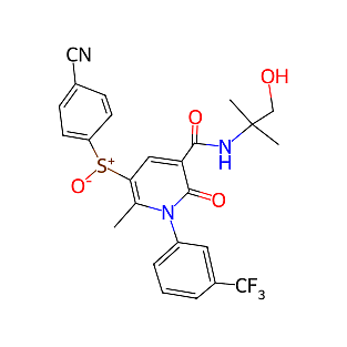 Cc1c([S+]([O-])c2ccc(C#N)cc2)cc(C(=O)NC(C)(C)CO)c(=O)n1-c1cccc(C(F)(F)F)c1